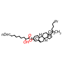 CCCCCCCCCCCCCCCCC(O)C(=O)O[C@H]1CC[C@@]2(C)C(=CC[C@H]3[C@@H]4CC[C@H]([C@H](C)CCCC(C)C)[C@@]4(C)CC[C@@H]32)C1